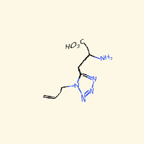 C=CCn1nnnc1CC(N)C(=O)O